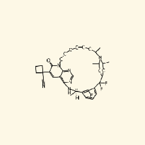 CC1CCCCCCn2c(=O)c(C3(C#N)CCC3)cc3c(ncnc32)N[C@H](C)c2cccc(c2F)C(F)(F)C2CC(C)N1C(C)C2